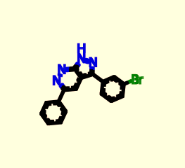 Brc1cccc(-c2n[nH]c3nnc(-c4ccccc4)cc23)c1